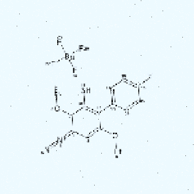 CCOC1=CC(=[N+]=[N-])C(OCC)C(S)=C1c1ccc(C)cc1.F[B-](F)(F)F